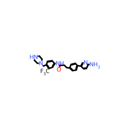 Nc1ccc(-c2ccc(CCC(=O)Nc3ccc(CN4CCNCC4)c(C(F)(F)F)c3)cc2)cn1